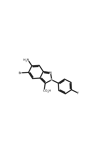 Nc1cc2nn(-c3ccc(F)cc3)c(C(=O)O)c2cc1Br